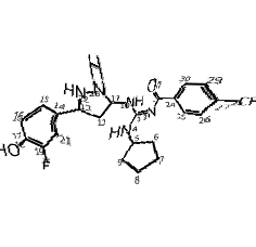 O=C(/N=C(/NC1CCCC1)NC1CC(c2ccc(O)c(F)c2)NN1)c1ccc(C(F)(F)F)cc1